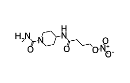 NC(=O)N1CCC(NC(=O)CCCO[N+](=O)[O-])CC1